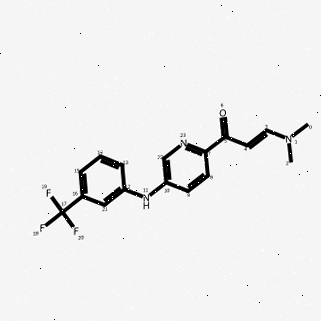 CN(C)/C=C/C(=O)c1ccc(Nc2cccc(C(F)(F)F)c2)cn1